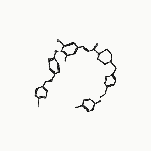 Cc1ccc(COc2ccc(Oc3c(C)cc(C=CC(=O)N4CCN(Cc5ccc(CCOc6ccc(C)cc6)cc5)CC4)cc3Cl)nc2)cc1